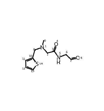 CN(CC(=O)NC[C]=O)Cc1cccs1